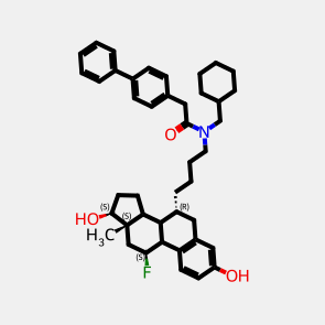 C[C@]12C[C@H](F)C3c4ccc(O)cc4C[C@@H](CCCCN(CC4CCCCC4)C(=O)Cc4ccc(-c5ccccc5)cc4)C3C1CC[C@@H]2O